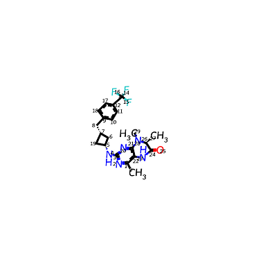 Cc1nc(N[C@H]2C[C@@H](Cc3ccc(C(F)(F)F)cc3)C2)nc2c1NC(=O)[C@H](C)N2C